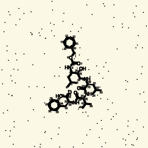 CC(C)CC(NC(=O)OCc1ccccc1)[C@@H](O)CN[C@@H](CC(C)C)C(=O)N[C@H](C(=O)N[C@@H](Cc1ccccc1)C(=O)O)C(C)C